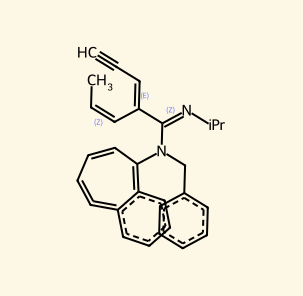 C#C/C=C(\C=C/C)C(=N/C(C)C)/N(Cc1ccccc1)C1=c2ccccc2=C=CC=C1